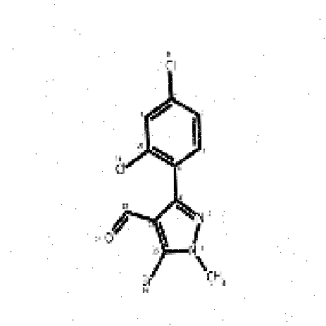 Cn1nc(-c2ccc(Cl)cc2Cl)c(C=O)c1Br